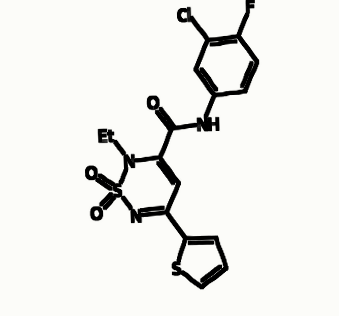 CCN1C(C(=O)Nc2ccc(F)c(Cl)c2)=CC(c2cccs2)=NS1(=O)=O